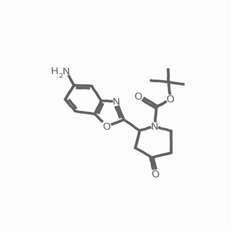 CC(C)(C)OC(=O)N1CCC(=O)CC1c1nc2cc(N)ccc2o1